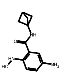 Bc1ccc(NO)c(C(=O)NC23CC(C2)C3)c1